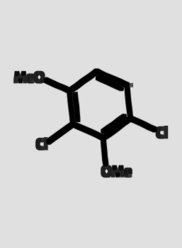 COc1c[c]c(Cl)c(OC)c1Cl